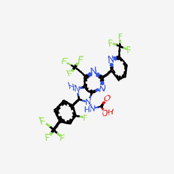 O=C(O)NN1c2nc(-c3cccc(C(F)(F)F)n3)nc(C(F)(F)F)c2NC1c1ccc(C(F)(F)F)cc1F